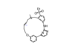 CCS(=O)(=O)c1ccc2cc1CN(C)C/C=C/CCOc1cccc(c1)-c1ccnc(n1)N2